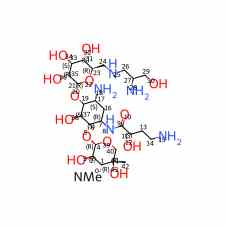 CN[C@@H]1[C@@H](O)[C@@H](O[C@H]2[C@H](NC(=O)[C@@H](O)CCN)C[C@H](N)C(O[C@H]3O[C@H](CNCC(N)CO)[C@@H](O)[C@H](O)[C@H]3O)[C@@H]2O)OC[C@]1(C)O